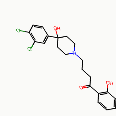 O=C(CCCN1CCC(O)(c2ccc(Cl)c(Cl)c2)CC1)c1ccc(F)cc1O